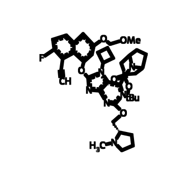 C#Cc1c(F)ccc2cc(OCOC)cc(Oc3nc4nc(OC[C@@H]5CCCN5C)nc(N5CC6CCC(C5)N6C(=O)OC(C)(C)C)c4n3C3CCC3)c12